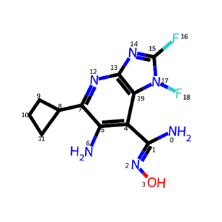 N/C(=N\O)c1c(N)c(C2CCC2)nc2nc(F)n(F)c12